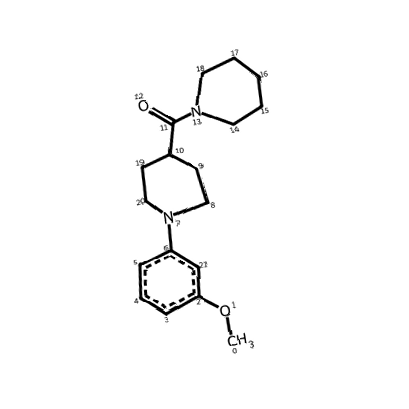 COc1cccc(N2CCC(C(=O)N3CCCCC3)CC2)c1